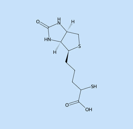 O=C1N[C@H]2[C@H](CS[C@H]2CCCC(S)C(=O)O)N1